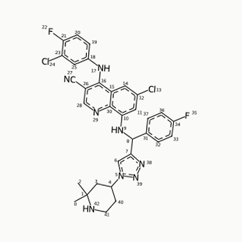 CC1(C)CC(n2cc(C(Nc3cc(Cl)cc4c(Nc5ccc(F)c(Cl)c5)c(C#N)cnc34)c3ccc(F)cc3)nn2)CCN1